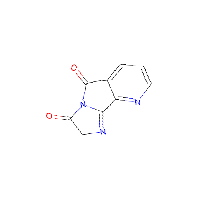 O=C1CN=C2c3ncccc3C(=O)N12